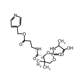 CC(NP1(=O)OCC(C)(C)[C@H](C(=O)NCCC(=O)OCc2ccncc2)O1)C(=O)O